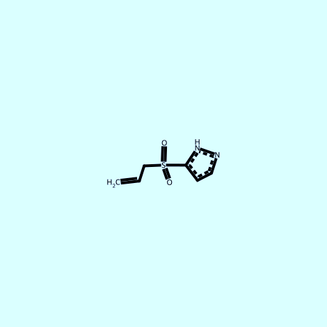 C=CCS(=O)(=O)c1ccn[nH]1